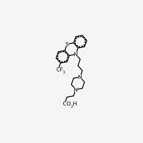 O=C(O)CCN1CCN(CCCN2c3ccccc3Sc3ccc(C(F)(F)F)cc32)CC1